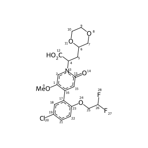 COc1cn(C(CC2COCCO2)C(=O)O)c(=O)cc1-c1cc(Cl)ccc1OCC(F)F